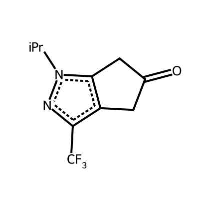 CC(C)n1nc(C(F)(F)F)c2c1CC(=O)C2